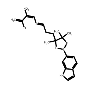 C=C(Cl)/C(=C\N=C\CCC1(C)OB(c2ccc3cc[nH]c3c2)OC1(C)C)[N+](=O)[O-]